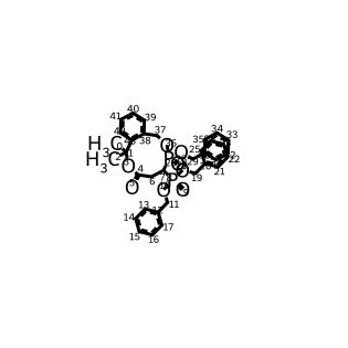 CC1(C)OC(=O)CC(P(=O)(OCc2ccccc2)OCc2ccccc2)P(=O)(OCc2ccccc2)OCc2ccccc21